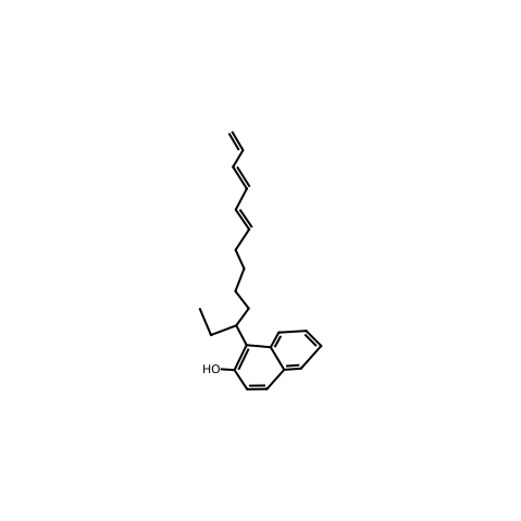 C=C/C=C/C=C/CCCCC(CC)c1c(O)ccc2ccccc12